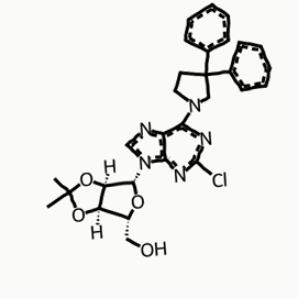 CC1(C)O[C@@H]2[C@H](O1)[C@@H](CO)O[C@H]2n1cnc2c(N3CCC(c4ccccc4)(c4ccccc4)C3)nc(Cl)nc21